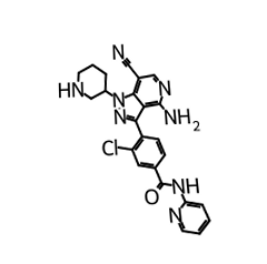 N#Cc1cnc(N)c2c(-c3ccc(C(=O)Nc4ccccn4)cc3Cl)nn(C3CCCNC3)c12